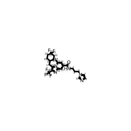 O=C(NCCCn1ccnc1)c1cc(Cl)n2c(CC3CCC(F)(F)CC3)c(C(F)(F)F)nc2c1